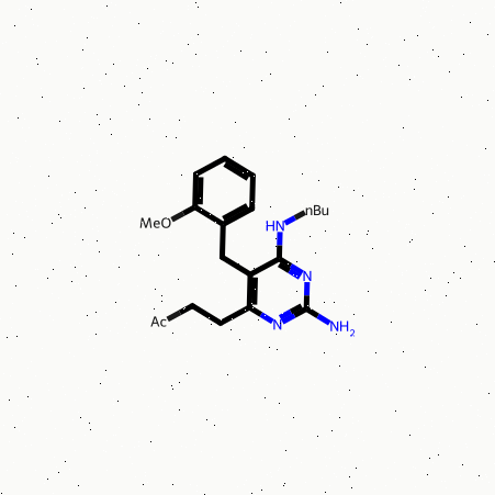 CCCCNc1nc(N)nc(CCC(C)=O)c1Cc1ccccc1OC